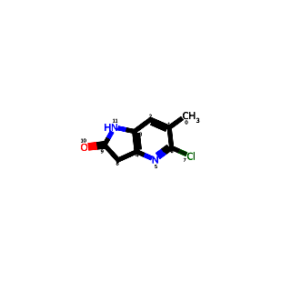 Cc1cc2c(nc1Cl)CC(=O)N2